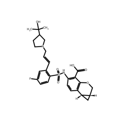 CC(C)(O)C1CCN(CC=Cc2cc(F)ccc2S(=O)(=O)Nc2ccc3c(c2C(=O)O)OC[C@@H]2C[C@H]32)C1